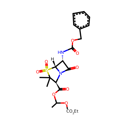 CCOC(=O)OC(C)OC(=O)[C@@H]1N2C(=O)[C@@H](NC(=O)OCc3ccccc3)[C@H]2S(=O)(=O)C1(C)C